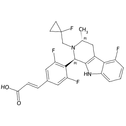 C[C@@H]1Cc2c([nH]c3cccc(F)c23)[C@@H](c2c(F)cc(C=CC(=O)O)cc2F)N1CC1(F)CC1